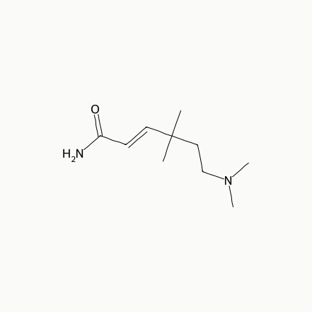 CN(C)CCC(C)(C)C=CC(N)=O